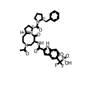 CC(=O)N1CC[C@H]2CC[C@@H](C(=O)N3CCC[C@H]3Cc3ccccc3)N2C(=O)C(NC(=O)c2cc3cc(C(F)(F)P(=O)(O)O)ccc3[nH]2)C1